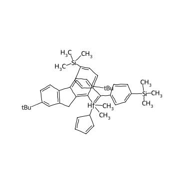 CC(C)(C)c1ccc2c(c1)Cc1c-2ccc(C(C)(C)C)[c]1[Hf]([CH3])([CH3])(=[C](c1ccc([Si](C)(C)C)cc1)c1ccc([Si](C)(C)C)cc1)[CH]1C=CC=C1